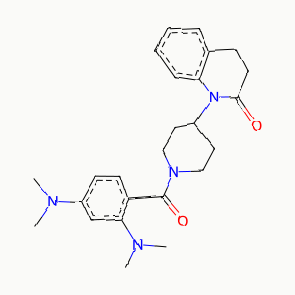 CN(C)c1ccc(C(=O)N2CCC(N3C(=O)CCc4ccccc43)CC2)c(N(C)C)c1